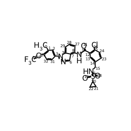 Cc1cc(-n2ncc3c(NC(=O)c4cc(CNS(=O)(=O)C5CC5)ccc4Cl)cccc32)ccc1OC(F)(F)F